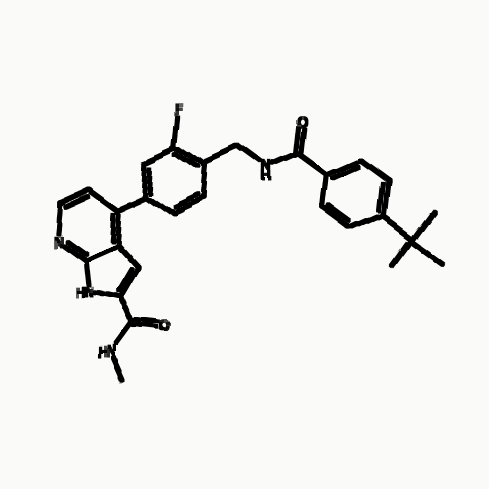 CNC(=O)c1cc2c(-c3ccc(CNC(=O)c4ccc(C(C)(C)C)cc4)c(F)c3)ccnc2[nH]1